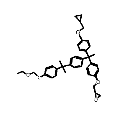 CCOCOc1ccc(C(C)(C)c2ccc(C(C)(c3ccc(OCC4CC4)cc3)c3ccc(OCC4CO4)cc3)cc2)cc1